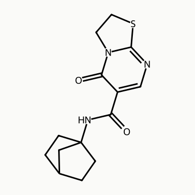 O=C(NC12CCC(CC1)C2)c1cnc2n(c1=O)CCS2